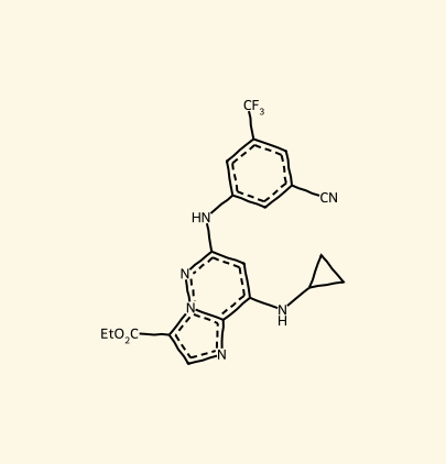 CCOC(=O)c1cnc2c(NC3CC3)cc(Nc3cc(C#N)cc(C(F)(F)F)c3)nn12